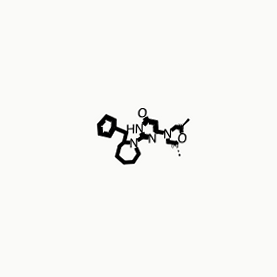 C[C@@H]1CN(c2cc(=O)[nH]c(N3CCCCCC3Cc3ccccc3)n2)C[C@@H](C)O1